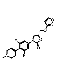 CN1CC=C(c2c(F)cc(N3C[C@H](COc4ccon4)OC3=O)cc2F)CC1